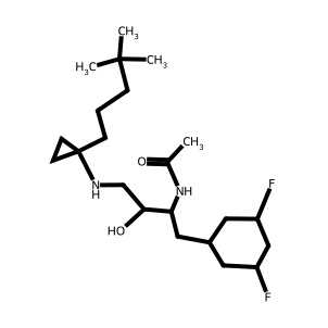 CC(=O)NC(CC1CC(F)CC(F)C1)C(O)CNC1(CCCC(C)(C)C)CC1